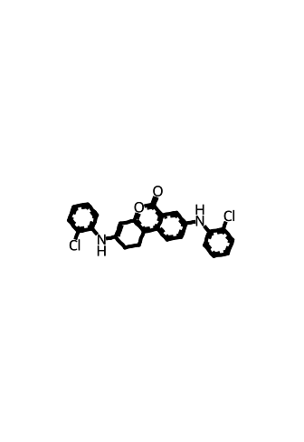 O=c1oc2c(c3ccc(Nc4ccccc4Cl)cc13)CCC(Nc1ccccc1Cl)=C2